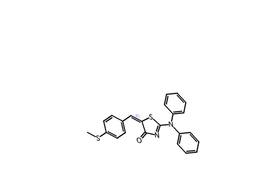 CSc1ccc(/C=C2/SC(N(c3ccccc3)c3ccccc3)=NC2=O)cc1